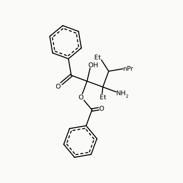 CCCC(CC)C(N)(CC)C(O)(OC(=O)c1ccccc1)C(=O)c1ccccc1